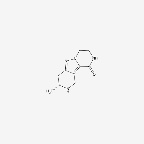 C[C@@H]1Cc2nn3c(c2CN1)C(=O)NCC3